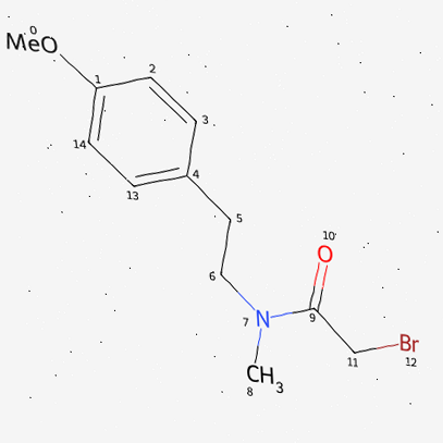 COc1ccc(CCN(C)C(=O)CBr)cc1